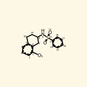 [O]c1cccc2c1CC(NS(=O)(=O)c1ccccc1)CC2